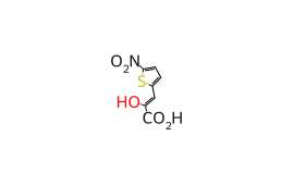 O=C(O)C(O)=Cc1ccc([N+](=O)[O-])s1